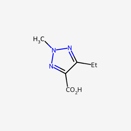 CCc1nn(C)nc1C(=O)O